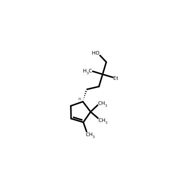 CCC(C)(CO)CC[C@H]1CC=C(C)C1(C)C